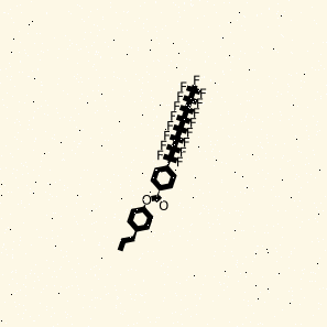 CCC[C@H]1CC[C@H](OC(=O)[C@H]2CC[C@H](C(F)(F)C(F)(F)C(F)(F)C(F)(F)C(F)(F)C(F)(F)C(F)(F)C(F)(F)F)CC2)CC1